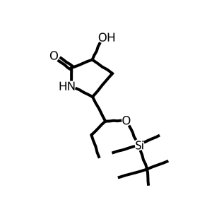 CCC(O[Si](C)(C)C(C)(C)C)C1CC(O)C(=O)N1